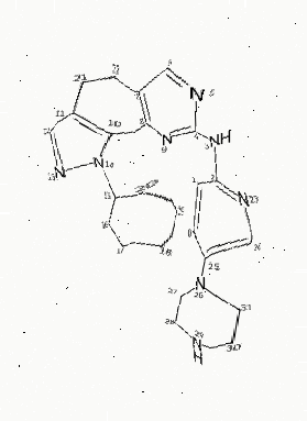 c1cc(Nc2ncc3c(n2)-c2c(cnn2C2CCCCC2)CC3)ncc1N1CCNCC1